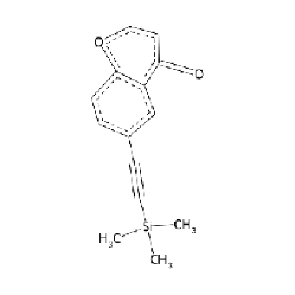 C[Si](C)(C)C#Cc1ccc2occc(=O)c2c1